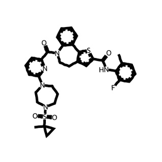 Cc1cccc(F)c1NC(=O)c1cc2c(s1)-c1ccccc1N(C(=O)c1cccc(N3CCCN(S(=O)(=O)C4(C)CC4)CC3)n1)CC2